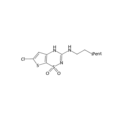 CCCC(C)CCNC1=NS(=O)(=O)c2sc(Cl)cc2N1